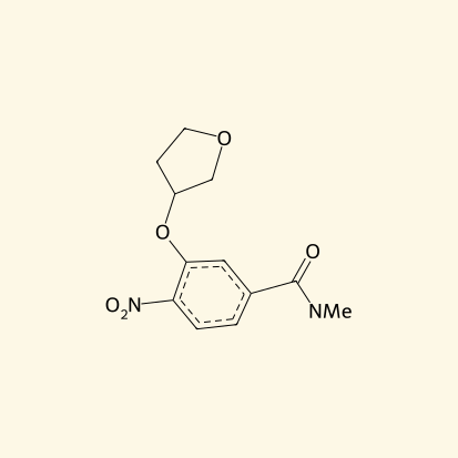 CNC(=O)c1ccc([N+](=O)[O-])c(OC2CCOC2)c1